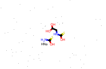 NC(O)=S.OC(=S)NCC(O)O.[NaH]